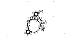 CC(O)[C@H]1C(=O)N[C@H](Cc2ccc(O)cc2)C(=O)NC/C=C/c2ccccc2OCCN[C@@H](C2CC2)C(=O)N1C